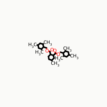 CC1CC(C)C(COC(=O)C2CCC(C)CC2C(=O)OCC2C(C)CC(C)CC2C)C(C)C1